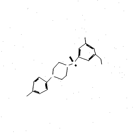 Cc1cc(CC(=O)O)cc(S(=O)(=O)N2CCN(c3ccc(Cl)cc3)CC2)c1